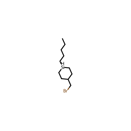 CCCCC[SiH]1CCC(CBr)CC1